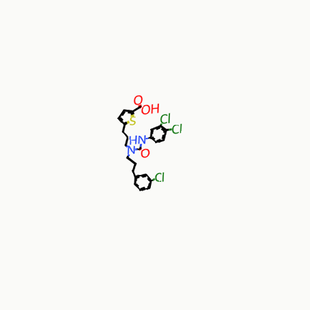 O=C(O)c1ccc(CCCN(CCCc2cccc(Cl)c2)C(=O)Nc2ccc(Cl)c(Cl)c2)s1